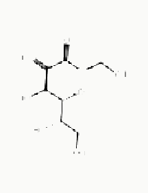 C=C(C(=O)OCC)C(O)[C@@H](O)[C@@H](O)CO